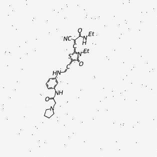 CCNC(=O)C(=C=c1sc(=C=CNc2cccc(NC(=O)CN3CCCC3)c2)c(=O)n1CC)C#N